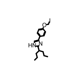 CCCC(CCC)c1nc(-c2ccc(OCI)cc2)c[nH]1